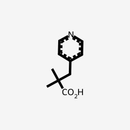 CC(C)(Cc1ccncc1)C(=O)O